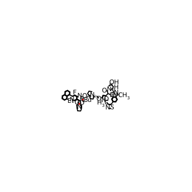 CCc1cccc2cccc(-c3ncc4c(N5CC6CCC(C5)N6C(=O)OC(C)(C)C)nc(OC[C@@]56CCCN5[C@H](COc5cc(C(C(=O)N7C[C@H](O)C[C@H]7C(=O)N[C@@H](C)c7ccc(-c8scnc8C)cc7)C(C)C)on5)CC6)nc4c3F)c12